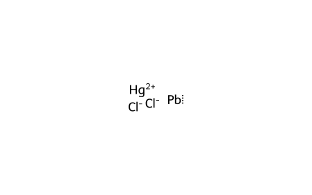 [Cl-].[Cl-].[Hg+2].[Pb]